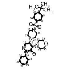 CC(C)(C)c1ccc(S(=O)(=O)N2CCN(c3cnn(-c4ccccc4)c(=O)c3N3CCOCC3)CC2)cc1